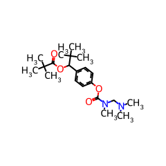 CN(C)CN(C)C(=O)Oc1ccc(C(OC(=O)C(C)(C)C)C(C)(C)C)cc1